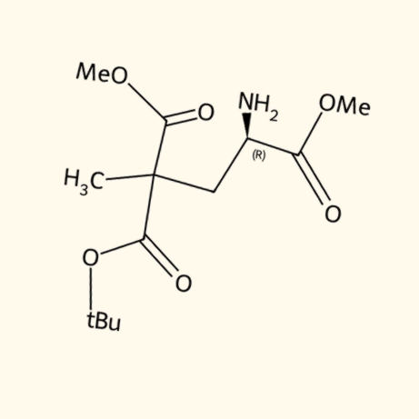 COC(=O)[C@H](N)CC(C)(C(=O)OC)C(=O)OC(C)(C)C